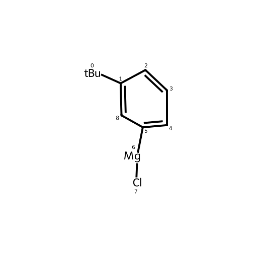 CC(C)(C)c1ccc[c]([Mg][Cl])c1